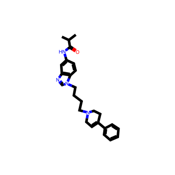 CC(C)C(=O)Nc1ccc2c(c1)ncn2CCCCN1CC=C(c2ccccc2)CC1